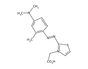 Cc1cc(N(C)C)ccc1/N=N/c1scc[n+]1CC(=O)O